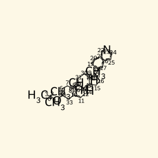 CC(C)(C)O[C@@H]1CC[C@@]2(C)C(=CC[C@H]3[C@@H]4CC[C@H](c5ccc6cnccc6c5)[C@@]4(C)CC[C@@H]32)C1